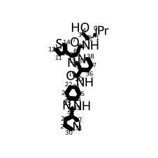 CC(C)C[C@@H](CO)NC(=O)c1c(-c2ccsc2)nc2c(C(=O)Nc3ccc4nc(-c5cccnc5)[nH]c4c3)cccn12